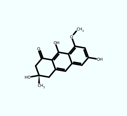 COc1cc(O)cc2cc3c(c(O)c12)C(=O)C[C@@](C)(O)C3